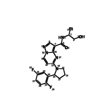 CCC(CO)NC(=O)c1cnn2ccc(N3CCCC3c3cc(F)ccc3F)nc12